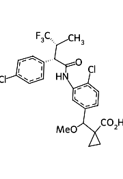 COC(c1ccc(Cl)c(NC(=O)[C@H](c2ccc(Cl)cc2)[C@@H](C)C(F)(F)F)c1)C1(C(=O)O)CC1